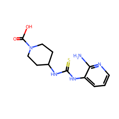 Nc1ncccc1NC(=S)NC1CCN(C(=O)O)CC1